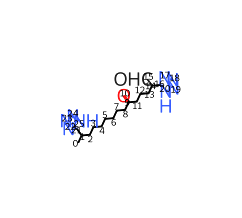 CC(CCCCCCCC(=O)CCCC(C=O)c1nnn[nH]1)c1nnn[nH]1